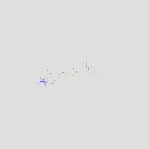 N#Cc1n[nH]c2ccc(-c3ccc(S(=O)(=O)N4CCC(Nc5ccc(C(F)(F)F)cc5)CC4)cc3)cc12